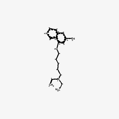 CCN(CC)CCCCCOc1cc(O)cc2ccncc12